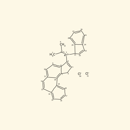 C[C](C)=[Zr+2]([C]1=CCc2c1ccc1ccc3ccccc3c21)[CH]1C=Cc2ccccc21.[Cl-].[Cl-]